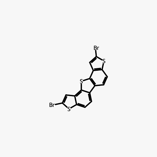 Brc1cc2c(ccc3c4ccc5sc(Br)cc5c4sc23)s1